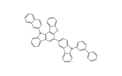 c1ccc(-c2cccc(-n3c4ccccc4c4cc(-c5cc6c7ccccc7n(-c7ccc8ccccc8c7)c6c6c5sc5ccccc56)ccc43)c2)cc1